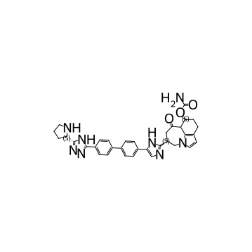 NC(=O)O[C@H]1CCc2ccn3c2C1C(=O)C[C@H](c1ncc(-c2ccc(-c4ccc(-c5nnc([C@@H]6CCCN6)[nH]5)cc4)cc2)[nH]1)C3